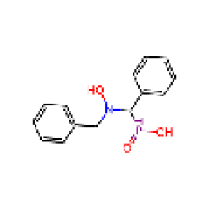 O=[PH](O)C(c1ccccc1)N(O)Cc1ccccc1